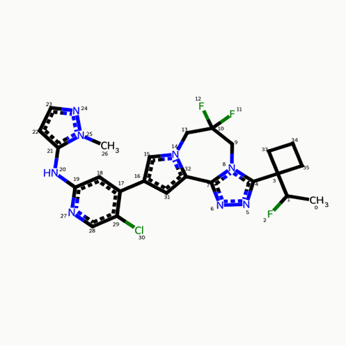 CC(F)C1(c2nnc3n2CC(F)(F)Cn2cc(-c4cc(Nc5ccnn5C)ncc4Cl)cc2-3)CCC1